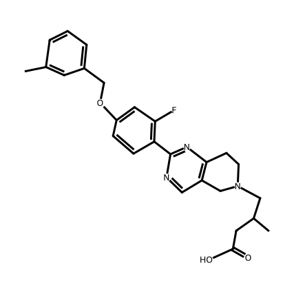 Cc1cccc(COc2ccc(-c3ncc4c(n3)CCN(CC(C)CC(=O)O)C4)c(F)c2)c1